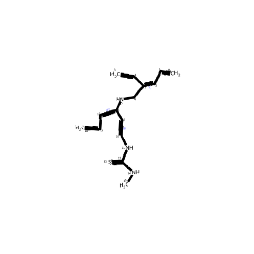 C=C/C=C(\C=C)CNC(/C=C/NC(=S)NC)=C/C=C